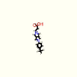 CC(C)(C)c1ccc(N2CC3CN(CCC(=O)O)CC3C2)cc1